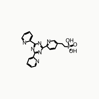 O=P(O)(O)CCc1ccc(-c2nc(-c3ccccn3)nc(-c3ccccn3)n2)nc1